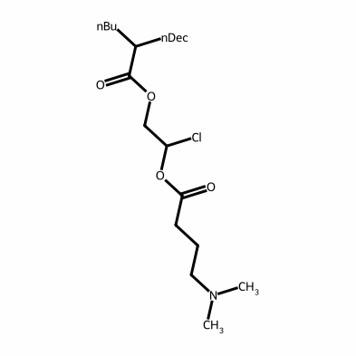 CCCCCCCCCCC(CCCC)C(=O)OCC(Cl)OC(=O)CCCN(C)C